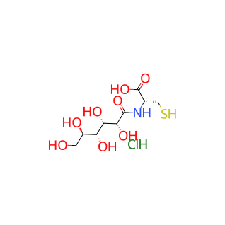 Cl.O=C(O)[C@H](CS)NC(=O)[C@H](O)[C@@H](O)[C@H](O)[C@H](O)CO